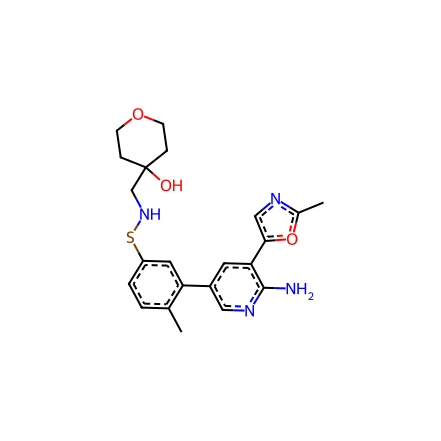 Cc1ncc(-c2cc(-c3cc(SNCC4(O)CCOCC4)ccc3C)cnc2N)o1